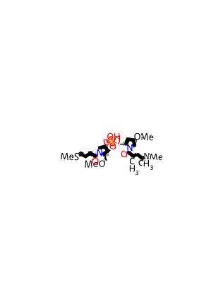 CNC(C)CC(C)C(=O)N1C[C@H](OC)C[C@H]1COP(=O)(O)O[C@@H]1C[C@@H](COC)N(C(=O)CCCSC)C1